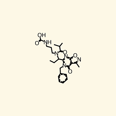 CCC(c1nc2onc(C)c2c(=O)n1Cc1ccccc1)N(CCCNC(=O)O)C(=O)C(C)C